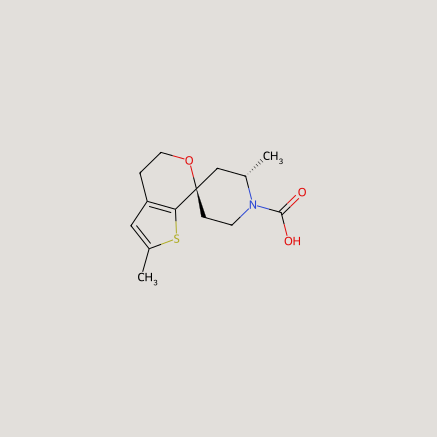 Cc1cc2c(s1)[C@]1(CCN(C(=O)O)[C@@H](C)C1)OCC2